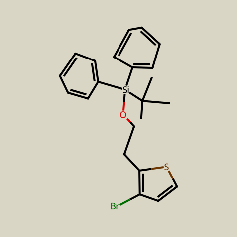 CC(C)(C)[Si](OCCc1sccc1Br)(c1ccccc1)c1ccccc1